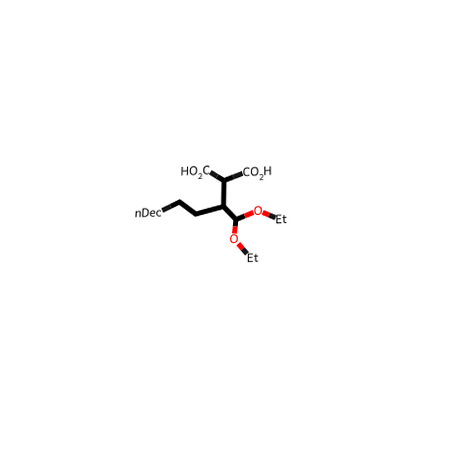 CCCCCCCCCCCCC(C(OCC)OCC)C(C(=O)O)C(=O)O